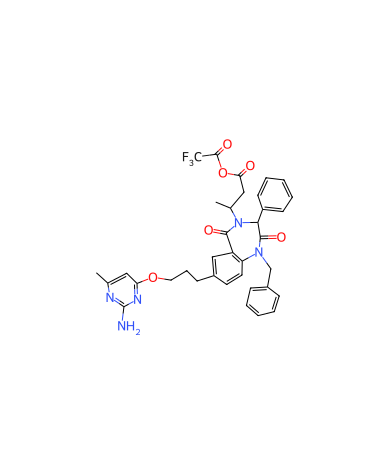 Cc1cc(OCCCc2ccc3c(c2)C(=O)N(C(C)CC(=O)OC(=O)C(F)(F)F)C(c2ccccc2)C(=O)N3Cc2ccccc2)nc(N)n1